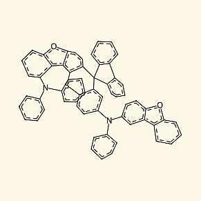 c1ccc(N(c2ccc3c(c2)C2(c4ccccc4-c4ccccc42)c2ccc4oc5cccc(N(c6ccccc6)c6ccccc6)c5c4c2S3)c2ccc3oc4ccccc4c3c2)cc1